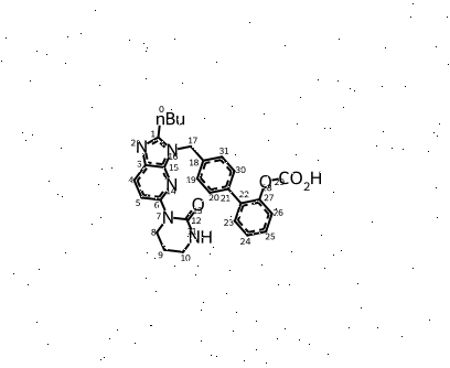 CCCCc1nc2ccc(N3CCCNC3=O)nc2n1Cc1ccc(-c2ccccc2OC(=O)O)cc1